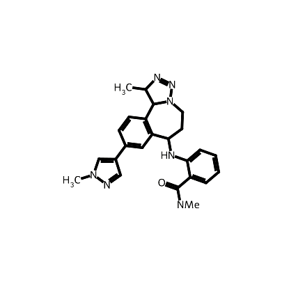 CNC(=O)c1ccccc1NC1CCN2N=NC(C)C2c2ccc(-c3cnn(C)c3)cc21